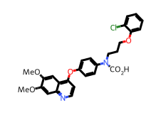 COc1cc2nccc(Oc3ccc(N(CCCOc4ccccc4Cl)C(=O)O)cc3)c2cc1OC